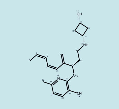 C=C(/C=C\C=C/C)[C@@H](CCN[C@H]1C[C@@H](O)C1)Oc1nc(C)ccc1C#N